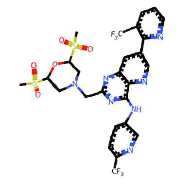 CS(=O)(=O)C1CN(Cc2nc(Nc3ccc(C(F)(F)F)nc3)c3ncc(-c4ncccc4C(F)(F)F)cc3n2)CC(S(C)(=O)=O)O1